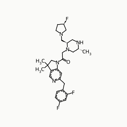 C[C@@H]1CN(CC(=O)N2CC(C)(C)c3cnc(Cc4ccc(F)cc4F)cc32)[C@@H](CN2CC[C@@H](F)C2)CN1